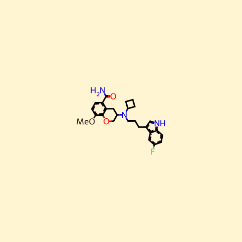 COc1ccc(C(N)=O)c2c1OCC(N(CCCc1c[nH]c3ccc(F)cc13)C1CCC1)C2